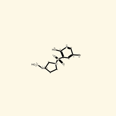 O=C(O)N[C@H]1CCN(S(=O)(=O)c2cc(Br)cnc2O)C1